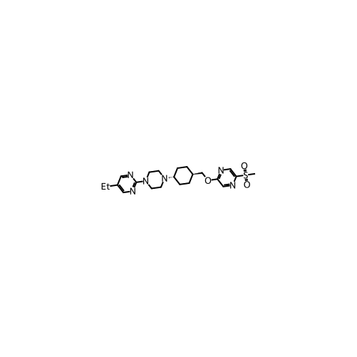 CCc1cnc(N2CCN([C@H]3CC[C@H](COc4cnc(S(C)(=O)=O)cn4)CC3)CC2)nc1